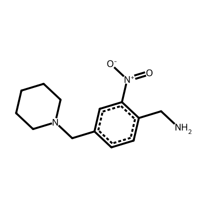 NCc1ccc(CN2CCCCC2)cc1[N+](=O)[O-]